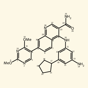 COc1ncc(-c2ccc3c(Nc4cc(N)cc(C5CCCC5)c4)c(C(N)=O)cnc3c2)c(OC)n1